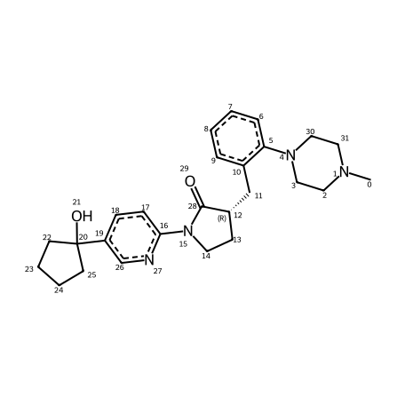 CN1CCN(c2ccccc2C[C@@H]2CCN(c3ccc(C4(O)CCCC4)cn3)C2=O)CC1